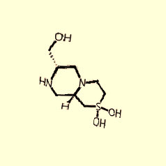 OC[C@@H]1CN2CCS(O)(O)C[C@@H]2CN1